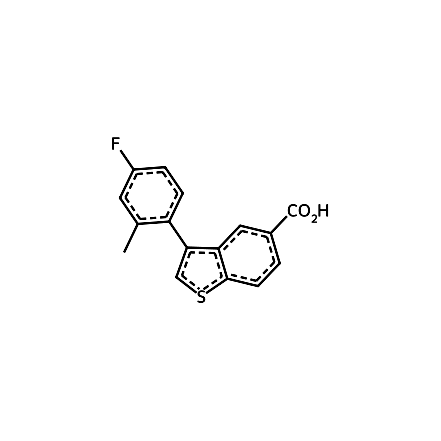 Cc1cc(F)ccc1-c1csc2ccc(C(=O)O)cc12